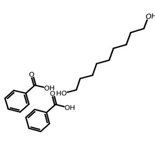 O=C(O)c1ccccc1.O=C(O)c1ccccc1.OCCCCCCCCCO